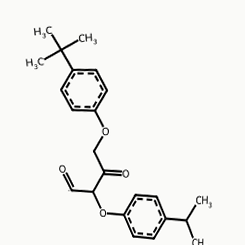 CC(C)c1ccc(OC([C]=O)C(=O)COc2ccc(C(C)(C)C)cc2)cc1